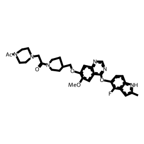 COc1cc2c(Oc3ccc4[nH]c(C)cc4c3F)ncnc2cc1OCC1CCN(C(=O)CN2CCN(C(C)=O)CC2)CC1